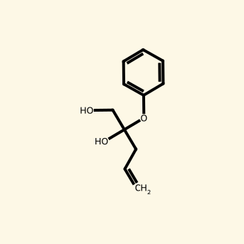 C=CCC(O)(CO)Oc1ccccc1